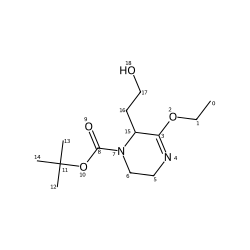 CCOC1=NCCN(C(=O)OC(C)(C)C)C1CCO